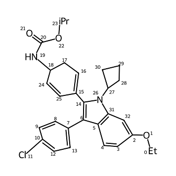 CCOc1ccc2c(-c3ccc(Cl)cc3)c(C3=CCC(NC(=O)OC(C)C)C=C3)n(C3CCC3)c2c1